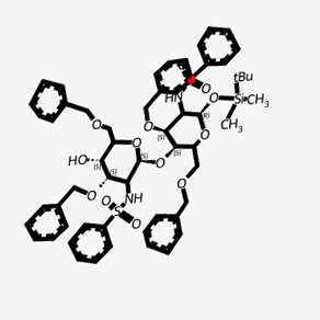 CC(C)(C)[Si](C)(C)O[C@H]1OC(COCc2ccccc2)[C@@H](O[C@@H]2OC(COCc3ccccc3)[C@@H](O)[C@@H](OCc3ccccc3)C2NS(=O)(=O)c2ccccc2)[C@@H](OCc2ccccc2)C1NS(=O)(=O)c1ccccc1